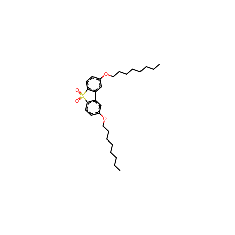 CCCCCCCCOc1ccc2c(c1)-c1cc(OCCCCCCCC)ccc1S2(=O)=O